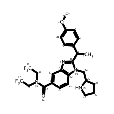 CCOc1ccc(C(C)c2nc3cc(C(=O)N(CC(F)(F)F)CC(F)(F)F)ccc3n2CC2CCCN2)cc1